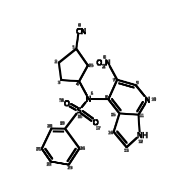 N#CC1CCC(N(c2c([N+](=O)[O-])cnc3[nH]ccc23)S(=O)(=O)c2ccccc2)C1